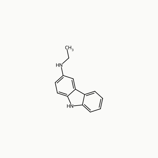 CCNc1ccc2[nH]c3ccccc3c2c1